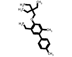 CCC(CC)(CP)COc1cc(C)c(-c2ccc(C)cc2)cc1CP